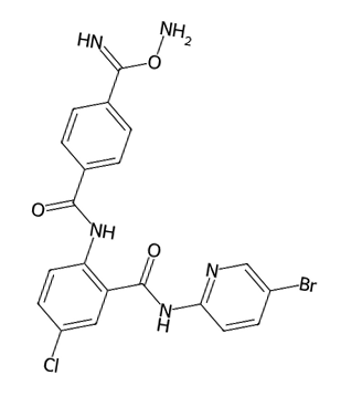 N=C(ON)c1ccc(C(=O)Nc2ccc(Cl)cc2C(=O)Nc2ccc(Br)cn2)cc1